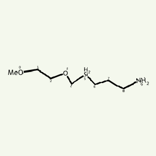 COCCOC[SiH2]CCCN